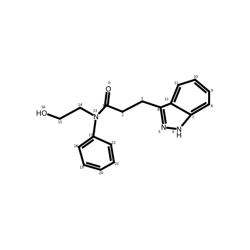 O=C(CCc1n[nH]c2ccccc12)N(CCO)c1ccccc1